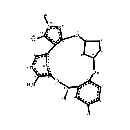 Cc1ccc2c(c1)[C@@H](C)Oc1cc(cnc1N)-c1c(nn(C)c1C#N)OC1CCC(C1)O2